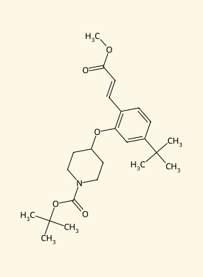 COC(=O)C=Cc1ccc(C(C)(C)C)cc1OC1CCN(C(=O)OC(C)(C)C)CC1